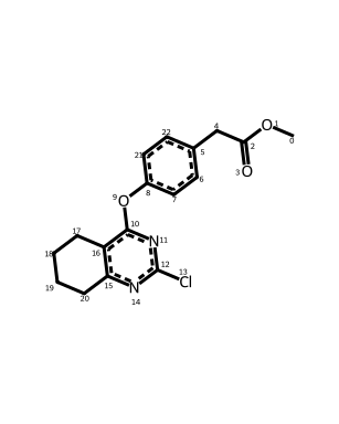 COC(=O)Cc1ccc(Oc2nc(Cl)nc3c2CCCC3)cc1